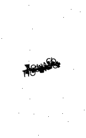 CC(C)(C)OC(=O)c1ccc(-n2ccc(OCC(O)(O)C3C4(CC4)C34CC4)n2)nc1Cl